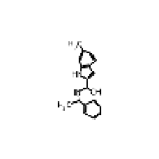 Cc1ccc2cc(C(O)NC(C)c3ccccc3)[nH]c2c1